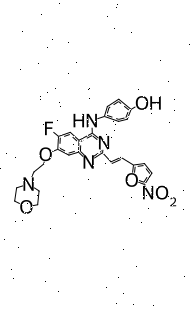 O=[N+]([O-])c1ccc(/C=C/c2nc(Nc3ccc(O)cc3)c3cc(F)c(OCCN4CCOCC4)cc3n2)o1